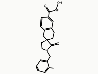 Cc1ccccc1CN1CC[C@@]2(CCc3cc(C(=O)NO)ccc3C2)C1=O